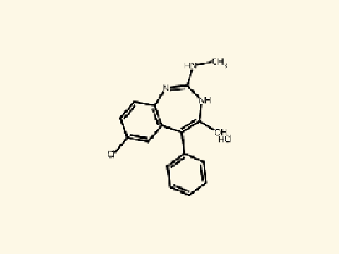 CNC1=Nc2ccc(Cl)cc2C(c2ccccc2)=C(O)N1.Cl